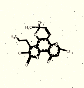 CCCc1c(Cl)c(=O)oc2c1c1c(c3oc(C)cc(=O)c32)[C]=CC(C)(C)O1